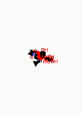 CC1=C(C)C(=O)N([C@H]2CCC3(O)[C@H]4Cc5ccc(O)c6c5[C@@]3(CCN4CC3CC3)[C@H]2O6)C1=O.O=C(O)C(O)C(O)C(=O)O